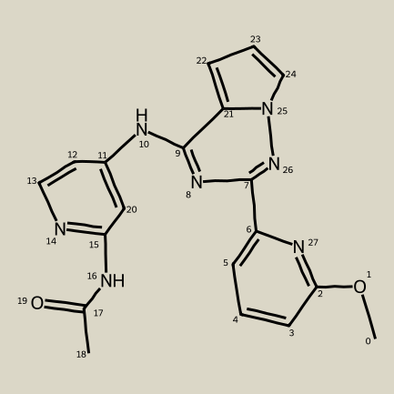 COc1cccc(-c2nc(Nc3ccnc(NC(C)=O)c3)c3cccn3n2)n1